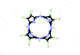 FC1=C(F)c2nc1nc1[nH]c(nc3nc(nc4[nH]c(n2)c(F)c4F)C(F)=C3F)c(F)c1F